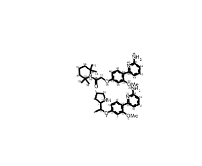 COc1cc(OC(C)C2CCCN2)ccc1-c1cccc(N)n1.COc1cc(OCC(=O)N2C(C)(C)CCCC2(C)C)ccc1-c1cccc(N)n1